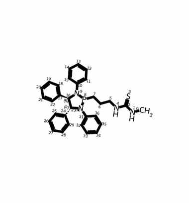 CNC(=S)NCCCP1N(c2ccccc2)[C@H](c2ccccc2)[C@@H](c2ccccc2)N1c1ccccc1